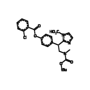 CN(CC(c1ccc(OC(=O)c2ccccc2Cl)cc1)c1nccn1C(=O)O)C(=O)OC(C)(C)C